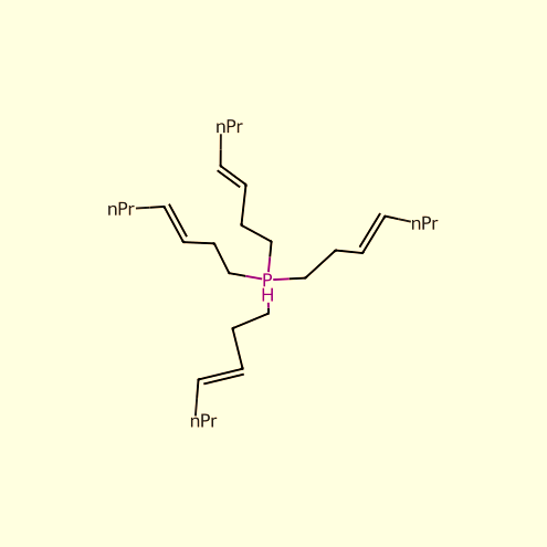 CCCC=CCC[PH](CCC=CCCC)(CCC=CCCC)CCC=CCCC